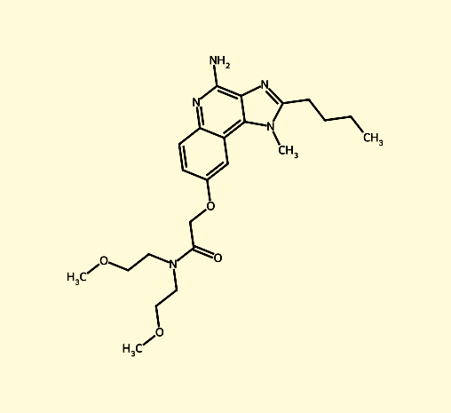 CCCCc1nc2c(N)nc3ccc(OCC(=O)N(CCOC)CCOC)cc3c2n1C